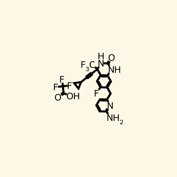 Nc1cccc(Cc2cc3c(cc2F)C(C#CC2CC2)(C(F)(F)F)NC(=O)N3)n1.O=C(O)C(F)(F)F